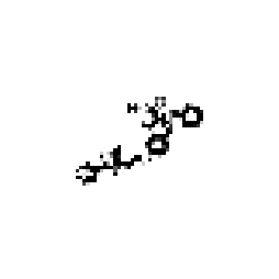 CCC(C(=O)O)N(Cc1ccccc1)Cc1ccc(OCCc2nc(-c3ccsc3)oc2C)cc1